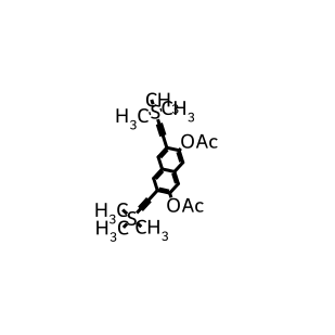 CC(=O)Oc1cc2cc(OC(C)=O)c(C#CS(C)(C)C)cc2cc1C#CS(C)(C)C